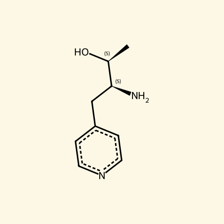 C[C@H](O)[C@@H](N)Cc1ccncc1